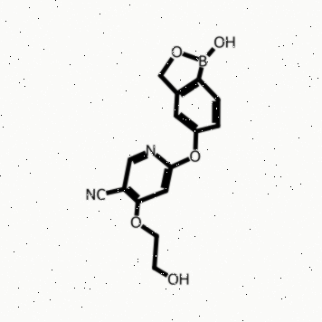 N#Cc1cnc(Oc2ccc3c(c2)COB3O)cc1OCCO